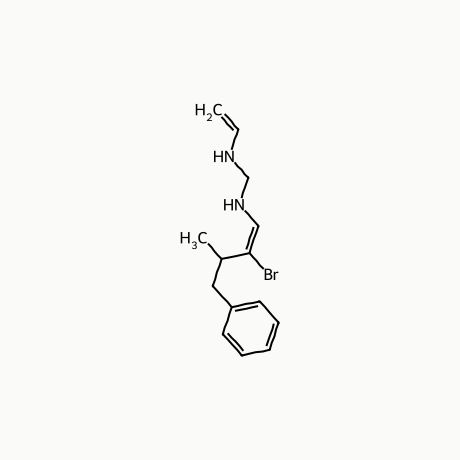 C=CNCN/C=C(/Br)C(C)Cc1ccccc1